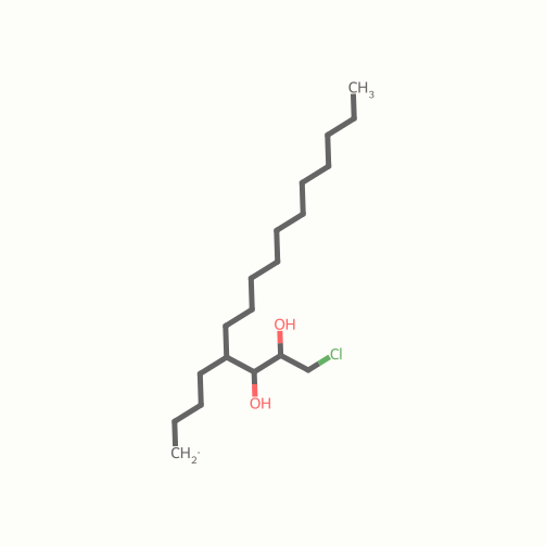 [CH2]CCCC(CCCCCCCCCCC)C(O)C(O)CCl